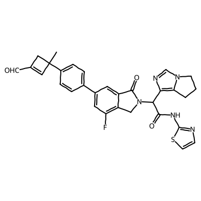 CC1(c2ccc(-c3cc(F)c4c(c3)C(=O)N(C(C(=O)Nc3nccs3)c3ncn5c3CCC5)C4)cc2)C=C(C=O)C1